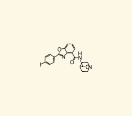 O=C(NC1CN2CCC1CC2)c1cccc2oc(-c3ccc(I)cc3)nc12